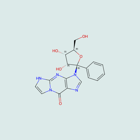 O=c1c2ncn([C@]3(c4ccccc4)O[C@H](CO)[C@@H](O)[C@H]3O)c2nc2[nH]ccn12